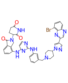 O=C1CCC(N2Cc3c(Nc4ccnc(Nc5cccc(CN6CCC(n7cc(-c8cnc9cccc(Br)c9n8)cn7)CC6)c5)n4)cccc3C2=O)C(=O)N1